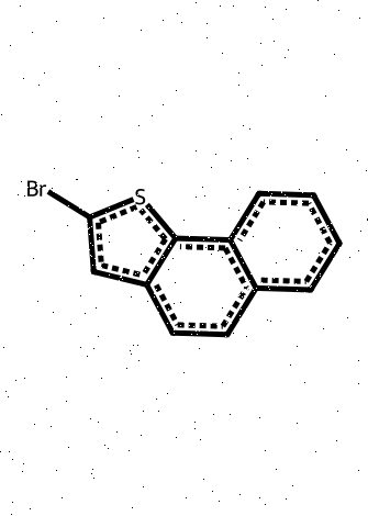 Brc1cc2ccc3ccccc3c2s1